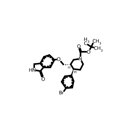 CC(C)(C)OC(=O)N1CC[C@@H](c2ccc(Br)cc2)[C@H](COc2ccc3c(c2)C(=O)NC3)C1